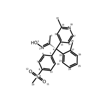 CC(=NO)[C@](c1ccc(S(C)(=O)=O)cc1)(c1ccnc(C)c1)c1ccccc1C